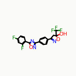 OC1(C(F)(F)F)CC(c2ccc(-c3noc(-c4ccc(F)cc4F)n3)cc2)=NO1